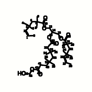 C/C=C\C(C)(C)CC(C)(C)C(=O)OCC(COC(=O)C(C)(C)CC(C)(C)/C=C\C)OC(=O)CC(C)(C)CC(C)(C)CCC(=O)OCO